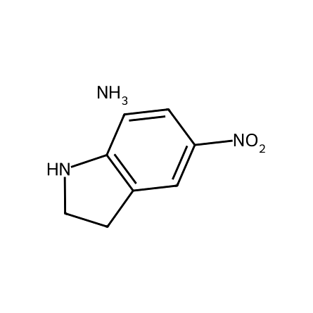 N.O=[N+]([O-])c1ccc2c(c1)CCN2